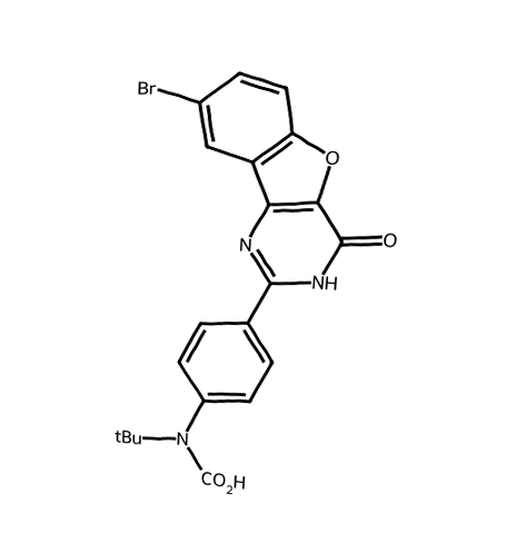 CC(C)(C)N(C(=O)O)c1ccc(-c2nc3c(oc4ccc(Br)cc43)c(=O)[nH]2)cc1